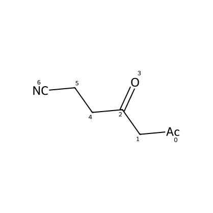 CC(=O)CC(=O)CCC#N